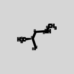 CBC[C@@H](C)F